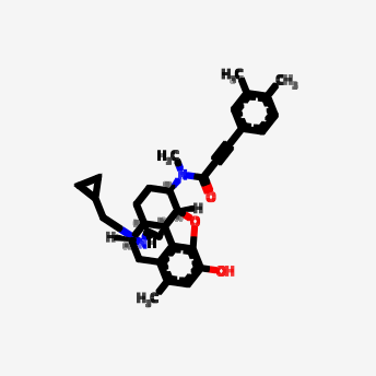 Cc1ccc(C#CC(=O)N(C)[C@@H]2CC[C@H]3[C@H]4Cc5c(C)cc(O)c6c5[C@@]3(CCN4CC3CC3)[C@H]2O6)cc1C